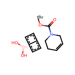 CC(C)(C)OC(=O)N1CC=CCC1.OBO.c1cc2ccc1-2